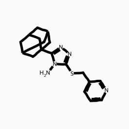 Nn1c(SCc2cccnc2)nnc1C12CC3CC(CC(C3)C1)C2